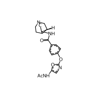 CC(=O)Nc1cnc(Oc2ccc(C(=O)N[C@H]3CN4CCC3CC4)cc2)o1